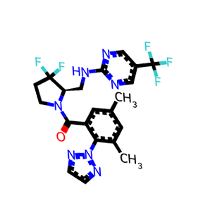 Cc1cc(C)c(-n2nccn2)c(C(=O)N2CCC(F)(F)[C@H]2CNc2ncc(C(F)(F)F)cn2)c1